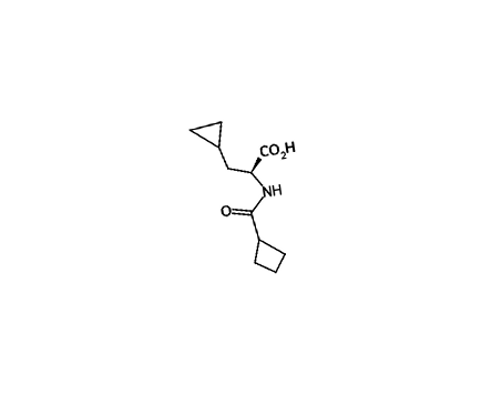 O=C(N[C@@H](CC1CC1)C(=O)O)C1CCC1